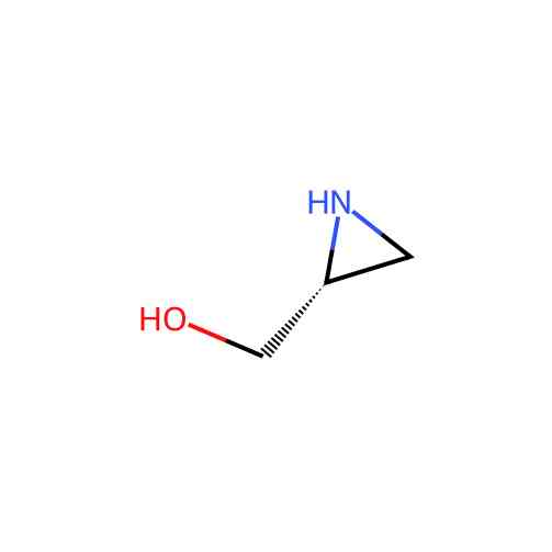 OC[C@H]1CN1